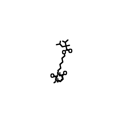 CC(C)CC(C)(C(=O)OCCCCCCn1c(=O)ccn(C)c1=O)C(C)C